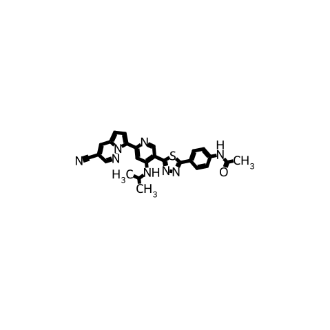 CC(=O)Nc1ccc(-c2nnc(-c3cnc(-c4ccc5cc(C#N)cnn45)cc3NC(C)C)s2)cc1